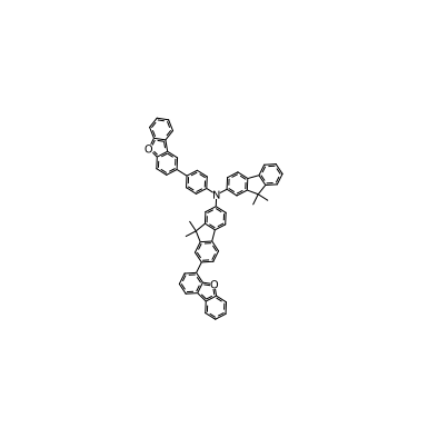 CC1(C)c2ccccc2-c2ccc(N(c3ccc(-c4ccc5oc6ccccc6c5c4)cc3)c3ccc4c(c3)C(C)(C)c3cc(-c5cccc6c5oc5ccccc56)ccc3-4)cc21